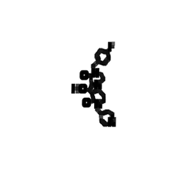 O=C1c2c(O)c3n(c2CCN1Cc1ccncc1)CCN(Cc1ccc(F)cc1)C3=O